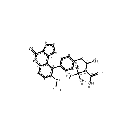 COc1ccc2[nH]c(=O)c3sccc3c2c1-c1ccc(CC(C)N(C(=O)O)C(C)(C)C)cc1